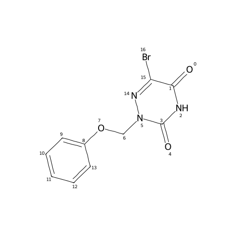 O=c1[nH]c(=O)n(COc2ccccc2)nc1Br